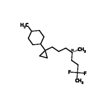 CC1CCC(C2(CCC[C@H](C)CCC(C)(F)F)CC2)CC1